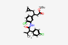 CC(C(C(=O)Nc1cc(C(CC(=O)OC(C)(C)C)CC2CC2)ccc1Cl)c1ccc(Cl)cc1)C(F)(F)F